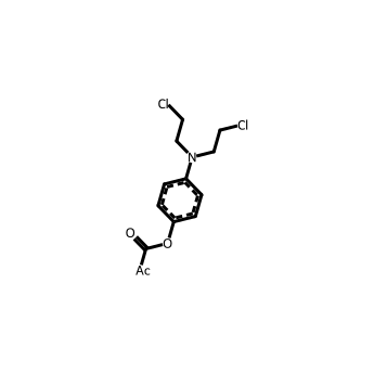 CC(=O)C(=O)Oc1ccc(N(CCCl)CCCl)cc1